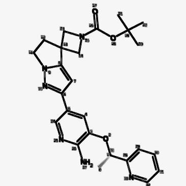 C[C@H](Oc1cc(-c2cc3n(n2)CCC32CN(C(=O)OC(C)(C)C)C2)cnc1N)c1ccccn1